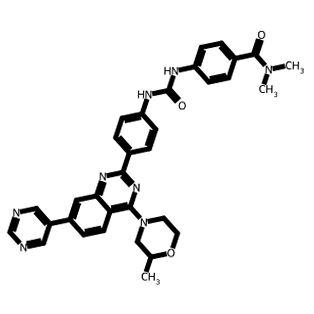 CC1CN(c2nc(-c3ccc(NC(=O)Nc4ccc(C(=O)N(C)C)cc4)cc3)nc3cc(-c4cncnc4)ccc23)CCO1